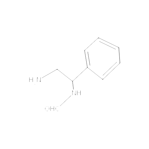 NCC(N[C]=O)c1ccccc1